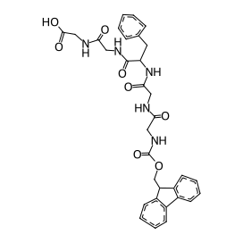 O=C(O)CNC(=O)CNC(=O)C(Cc1ccccc1)NC(=O)CNC(=O)CNC(=O)OCC1c2ccccc2-c2ccccc21